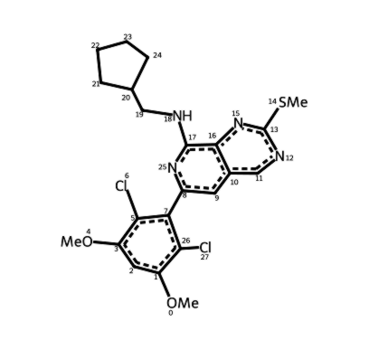 COc1cc(OC)c(Cl)c(-c2cc3cnc(SC)nc3c(NCC3CCCC3)n2)c1Cl